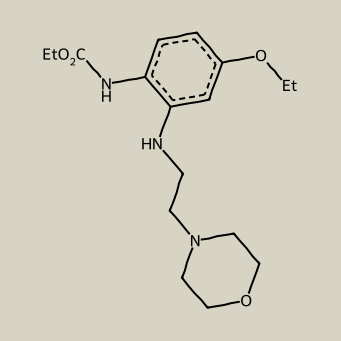 CCOC(=O)Nc1ccc(OCC)cc1NCCN1CCOCC1